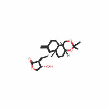 C=C1CCC2[C@](C)(CC[C@H]3OC(C)(C)OC[C@@]23C)[C@@H]1C/C=C1/C(=O)OC[C@H]1O